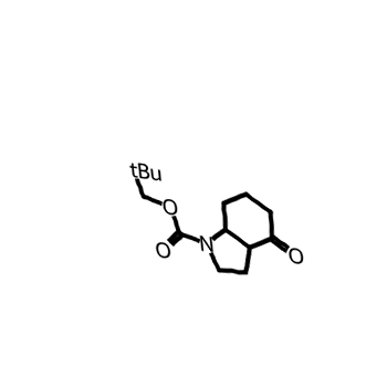 CC(C)(C)COC(=O)N1CCC2C(=O)CCCC21